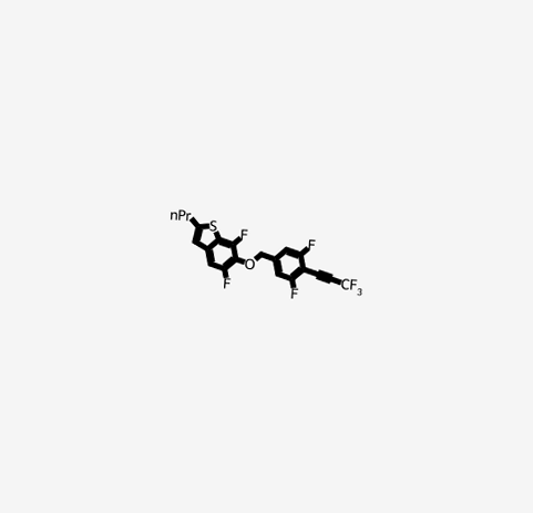 CCCc1cc2cc(F)c(OCc3cc(F)c(C#CC(F)(F)F)c(F)c3)c(F)c2s1